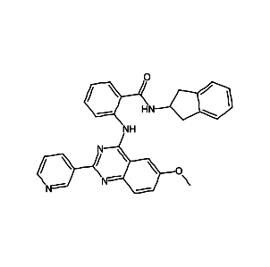 COc1ccc2nc(-c3cccnc3)nc(Nc3ccccc3C(=O)NC3Cc4ccccc4C3)c2c1